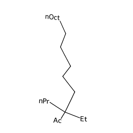 CCCCCCCCCCCCCC(CC)(CCC)C(C)=O